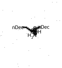 CCCCCCCCCCC#CC#CCCCCCCCCC(=O)OC(COC(=O)CCCCCCCCCCCCCCC)COP(=O)(O)OCCN